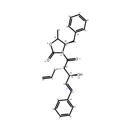 C=CC[C@H](C(=O)N1C(=O)OC(C)[C@H]1Cc1ccccc1)[C@@H](O)/C=C/c1ccccc1